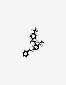 CCS(=O)(=O)c1ccc(SCc2ccccc2)nc1-c1nc2cc(C(F)(F)F)ncc2n1C